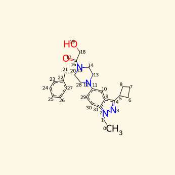 CCn1nc(C2CCC2)c2cc(N3CCN(C(=O)CO)[C@@H](Cc4ccccc4)C3)ccc21